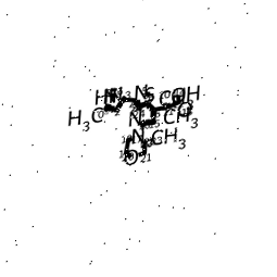 Cc1cc(-c2nsc3c(C(C)(C)C(=O)O)cc(N4CCOC[C@H]4C)nc23)[nH]n1